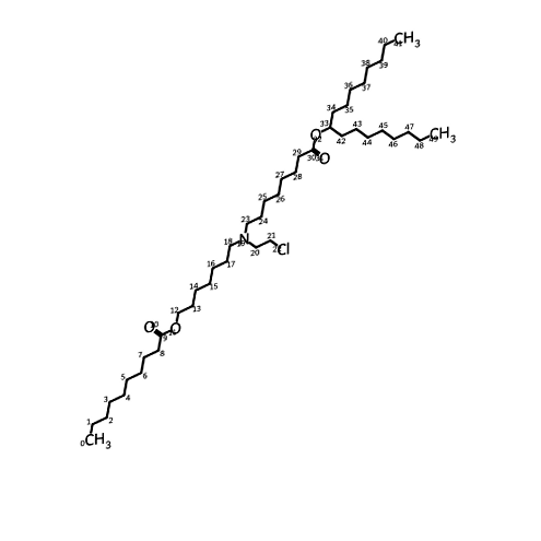 CCCCCCCCCC(=O)OCCCCCCCN(CCCl)CCCCCCCC(=O)OC(CCCCCCCC)CCCCCCCC